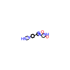 O=C1CCC(n2cc(-c3ccc(N4CCNCC4)cc3)cn2)C(=O)N1